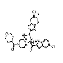 CN1CCc2nc(C(=O)N[C@@H]3CN(C(=O)C4CCOCC4)CC[C@@H]3NC(=O)c3cc4cc(Cl)ccc4[nH]3)sc2C1